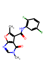 Cc1oc2ncn(C)c(=O)c2c1C(=O)Nc1cc(F)ccc1F